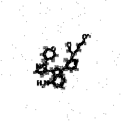 COCCCN(C=O)c1cccc(-c2cc(-c3ccnn3C3CCOCC3)c3c(N)ncnn23)c1